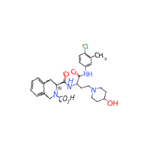 Cc1cc(NC(=O)C(CCN2CCC(O)CC2)NC(=O)[C@@H]2Cc3ccccc3CN2C(=O)O)ccc1Cl